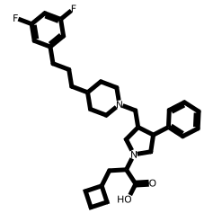 O=C(O)C(CC1CCC1)N1CC(CN2CCC(CCCc3cc(F)cc(F)c3)CC2)C(c2ccccc2)C1